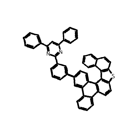 c1ccc(-c2cc(-c3ccccc3)nc(-c3cccc(-c4ccc5c(c4)c4ccccc4c4ccc6sc7ccc8ccccc8c7c6c45)c3)n2)cc1